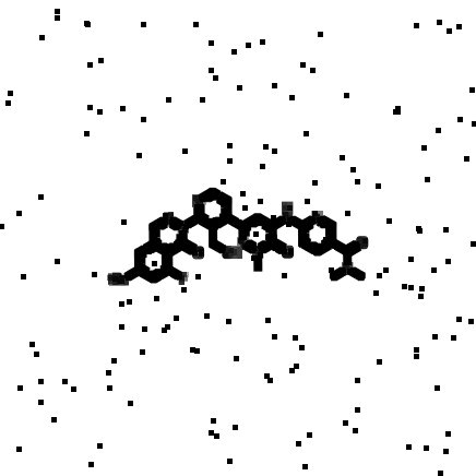 CN(C)C(=O)c1ccc(Nc2cc(-c3ccnc(-n4ncc5cc(C(C)(C)C)cc(F)c5c4=O)c3CO)nn(C)c2=O)nc1